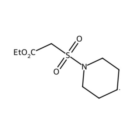 CCOC(=O)CS(=O)(=O)N1CC[CH]CC1